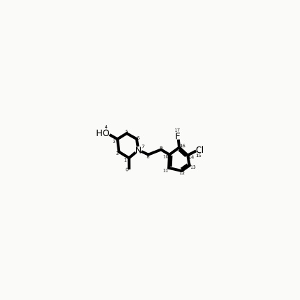 CC1CC(O)CCN1CCc1cccc(Cl)c1F